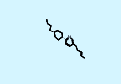 C/C=C/CCc1ccc([C@H]2CC[C@H](CCCC)CC2)nc1